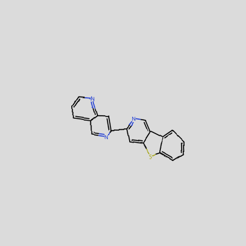 c1cnc2cc(-c3cc4sc5ccccc5c4cn3)ncc2c1